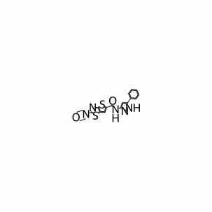 O=C(Nc1cc(-c2ccccc2)[nH]n1)c1cc2sc(N3CCOCC3)nc2s1